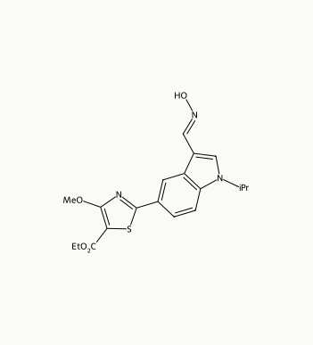 CCOC(=O)c1sc(-c2ccc3c(c2)c(C=NO)cn3C(C)C)nc1OC